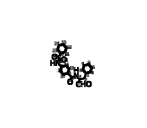 O=CC(Cc1ccccc1)NC(=O)c1ccc(NS(=O)(=O)c2ccccc2)cc1